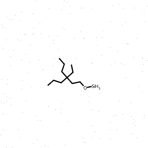 CCCC(CC)(CCC)CCO[SiH3]